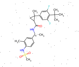 Cc1cc([C@@H](C)NC(=O)C2CC2(C)c2cc(F)c(C(C)(C)C)c(F)c2)ccc1NS(C)(=O)=O